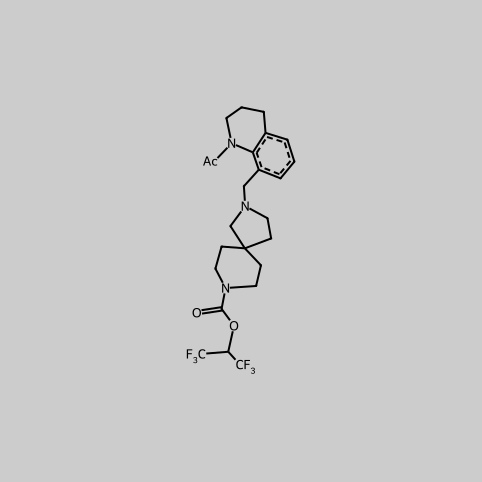 CC(=O)N1CCCc2cccc(CN3CCC4(CCN(C(=O)OC(C(F)(F)F)C(F)(F)F)CC4)C3)c21